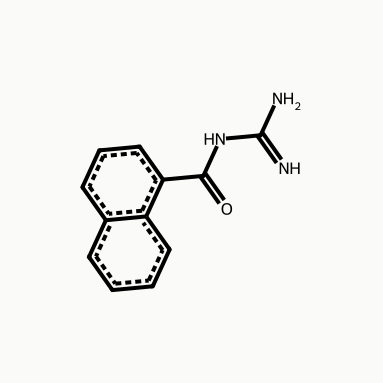 N=C(N)NC(=O)c1cccc2ccccc12